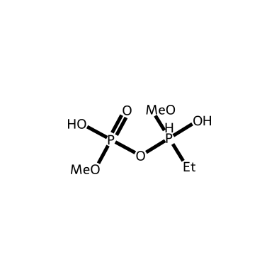 CC[PH](O)(OC)OP(=O)(O)OC